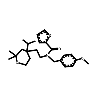 COc1ccc(CN(CCC2(C(C)C)CCOC(C)(C)C2)C(=O)c2cccs2)cc1